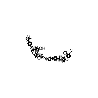 Cc1ncsc1-c1ccc([C@H](C)NC(=O)[C@@H]2C[C@@H](O)CN2C(=O)C(NC(=O)COCCN2CCN(c3ccc(C(=O)N[C@H]4C(C)(C)[C@H](Oc5ccc(C#N)c(Cl)c5)C4(C)C)cc3)CC2)C(C)(C)C)cc1